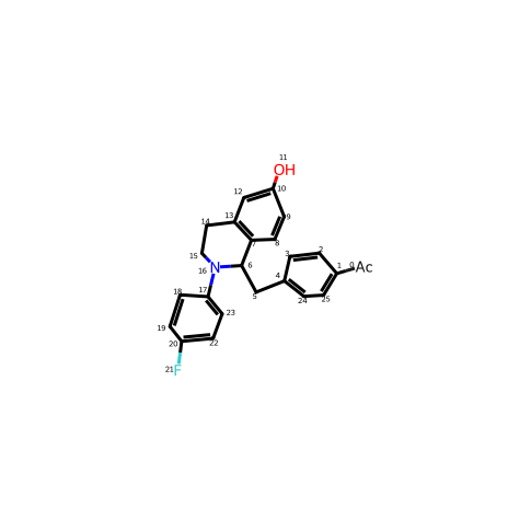 CC(=O)c1ccc(CC2c3ccc(O)cc3CCN2c2ccc(F)cc2)cc1